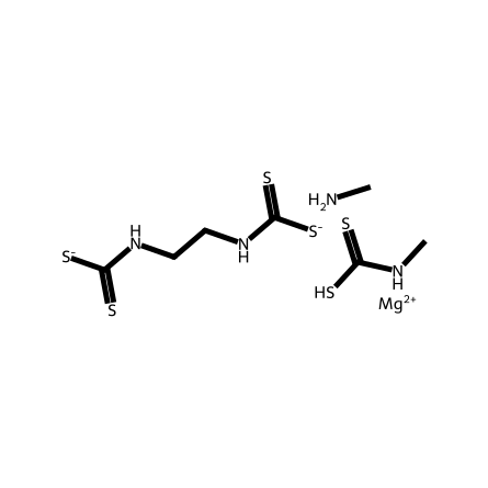 CN.CNC(=S)S.S=C([S-])NCCNC(=S)[S-].[Mg+2]